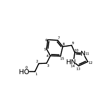 OCCCc1cccc(Cc2ncc[nH]2)c1